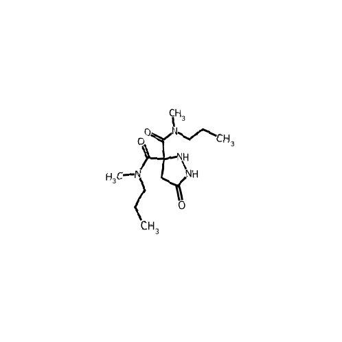 CCCN(C)C(=O)C1(C(=O)N(C)CCC)CC(=O)NN1